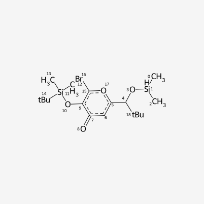 C[SiH](C)OC(c1cc(=O)c(O[Si](C)(C)C(C)(C)C)c(Br)o1)C(C)(C)C